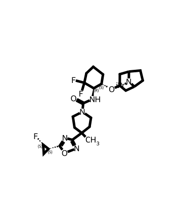 CC(C)N1C2CCC1CC(O[C@H]1CCCC(F)(F)[C@@H]1NC(=O)N1CCC(C)(c3noc([C@@H]4C[C@@H]4F)n3)CC1)C2